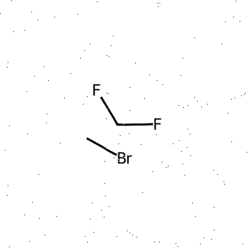 CBr.FCF